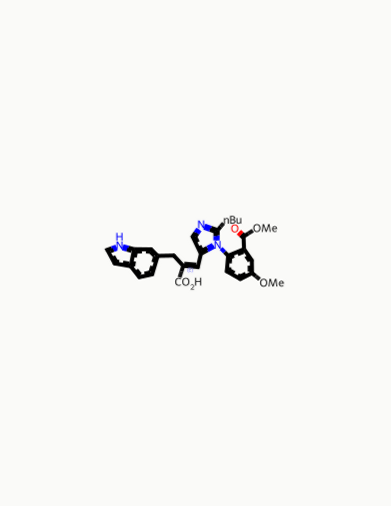 CCCCc1ncc(/C=C(\Cc2ccc3cc[nH]c3c2)C(=O)O)n1-c1ccc(OC)cc1C(=O)OC